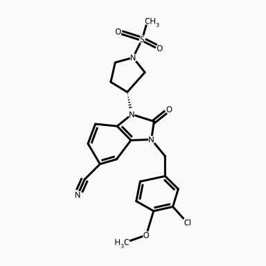 COc1ccc(Cn2c(=O)n([C@@H]3CCN(S(C)(=O)=O)C3)c3ccc(C#N)cc32)cc1Cl